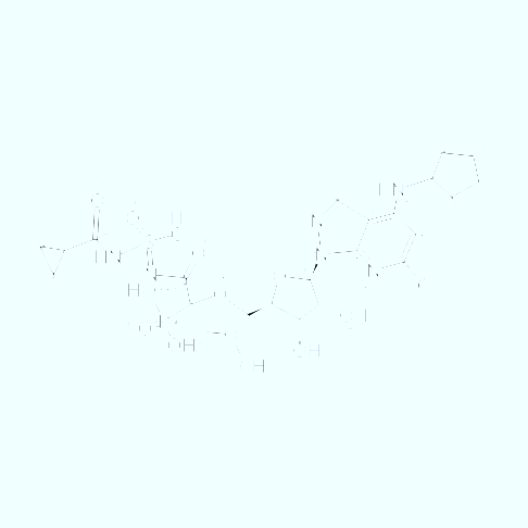 COC[C@@](OC[C@H]1O[C@@H](n2ncc3c(NC4CCCC4)cc(Cl)nc32)[C@H](O)[C@@H]1O)(C(=O)N=S(C)(=O)NC(=O)C1CC1)P(=O)(O)O